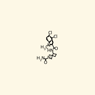 Cn1c(C(=O)NC2CCC23CN(C(N)=O)C3)cc2c(Cl)c(Cl)ccc21